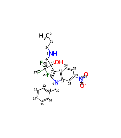 CCCNCC(O)(c1cn(Cc2ccccc2)c2cc([N+](=O)[O-])ccc12)C(F)(F)F